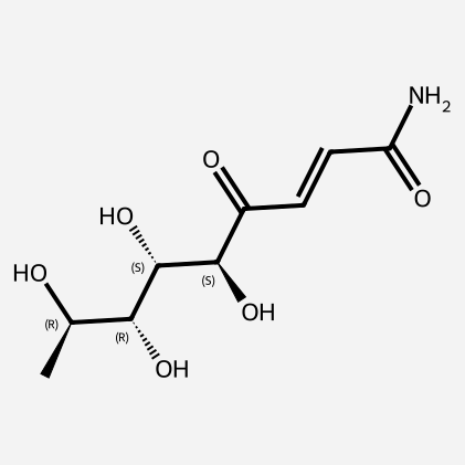 C[C@@H](O)[C@@H](O)[C@H](O)[C@H](O)C(=O)C=CC(N)=O